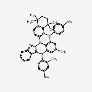 Cc1cc2c3c(c1)N(c1ccc(C(C)(C)C)cc1C)c1c(oc4ccccc14)B3c1ccc3c(c1N2c1ccc(C(C)(C)C)cc1)C(C)(C)CCC3(C)C